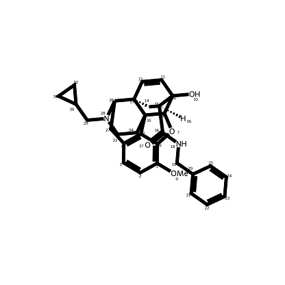 COc1ccc2c3c1OC1C4(O)C=C[C@]5(C[C@@H]4C(=O)NCc4ccccc4)C(C2)N(CC2CC2)CCC315